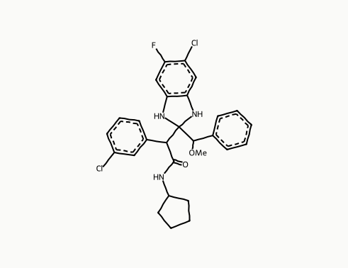 COC(c1ccccc1)C1(C(C(=O)NC2CCCC2)c2cccc(Cl)c2)Nc2cc(F)c(Cl)cc2N1